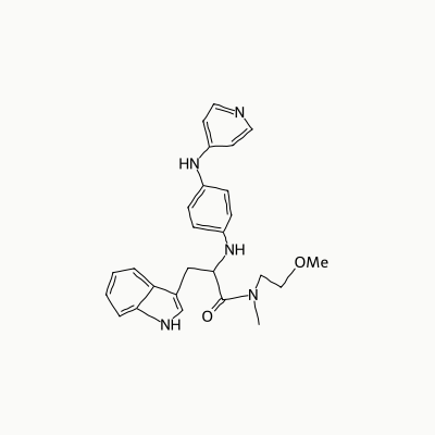 COCCN(C)C(=O)C(Cc1c[nH]c2ccccc12)Nc1ccc(Nc2ccncc2)cc1